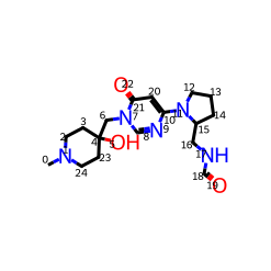 CN1CCC(O)(Cn2cnc(N3CCCC3CNC=O)cc2=O)CC1